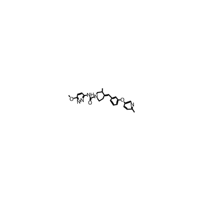 COc1ccc(NC(=O)N2CC/C(=C\c3cccc(Oc4ccc(C)nc4)c3)C(C)C2)nn1